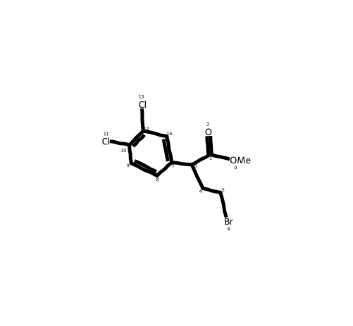 COC(=O)C(CCBr)c1ccc(Cl)c(Cl)c1